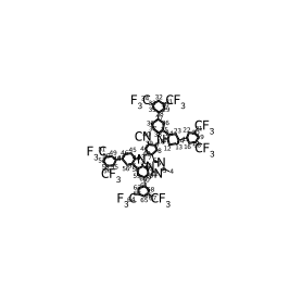 Cc1nc(C)nc(-c2cc(-n3c4ccc(-c5cc(C(F)(F)F)cc(C(F)(F)F)c5)cc4c4cc(-c5cc(C(F)(F)F)cc(C(F)(F)F)c5)ccc43)c(C#N)cc2-n2c3ccc(-c4cc(C(F)(F)F)cc(C(F)(F)F)c4)cc3c3cc(-c4cc(C(F)(F)F)cc(C(F)(F)F)c4)ccc32)n1